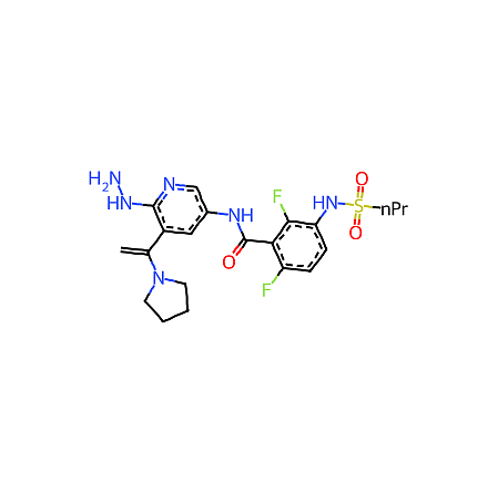 C=C(c1cc(NC(=O)c2c(F)ccc(NS(=O)(=O)CCC)c2F)cnc1NN)N1CCCC1